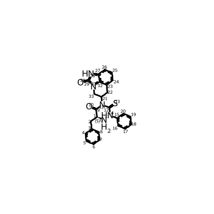 N[C@@H](Cc1ccccc1)C(=O)N(C(=S)Nc1ccccc1)C1Cc2cccc3[nH]c(=O)n(c23)C1